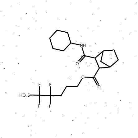 O=C(NC1CCCCC1)C1C2CCC(C2)C1C(=O)OCCCC(F)(F)C(F)(F)S(=O)(=O)O